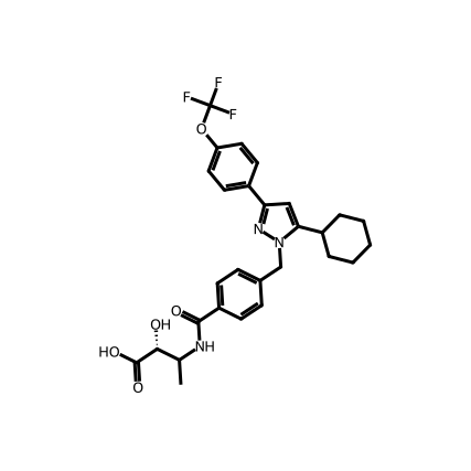 CC(NC(=O)c1ccc(Cn2nc(-c3ccc(OC(F)(F)F)cc3)cc2C2CCCCC2)cc1)[C@@H](O)C(=O)O